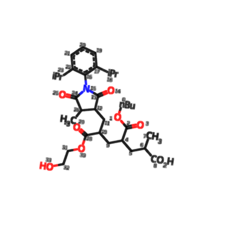 CCCCOC(=O)C(CC(C)C(=O)O)CC(CC1C(=O)N(c2c(C(C)C)cccc2C(C)C)C(=O)C1C)C(=O)OCCO